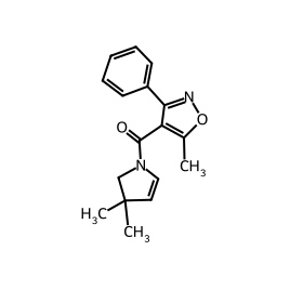 Cc1onc(-c2ccccc2)c1C(=O)N1C=CC(C)(C)C1